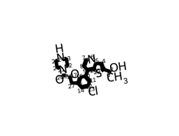 CC(O)c1cc2nccc(-c3cc(Cl)cc4c3O[C@@H](C(=O)N3CCNCC3)C4)c2s1